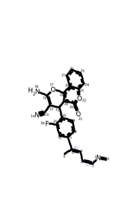 C=N/C=C\C=C(/C)c1ccc(C2C(C#N)=C(N)Oc3c2c(=O)oc2ccccc32)c(F)c1